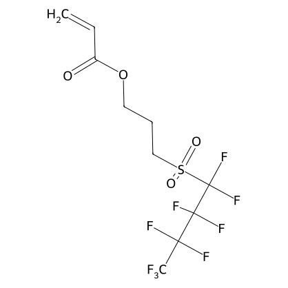 C=CC(=O)OCCCS(=O)(=O)C(F)(F)C(F)(F)C(F)(F)C(F)(F)F